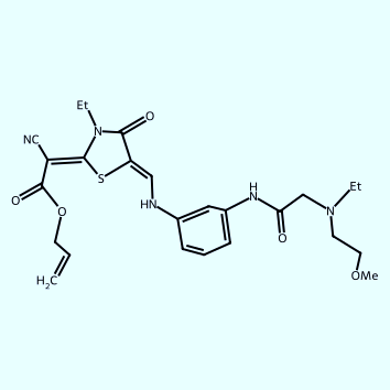 C=CCOC(=O)C(C#N)=c1sc(=CNc2cccc(NC(=O)CN(CC)CCOC)c2)c(=O)n1CC